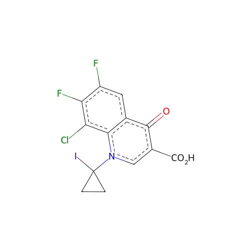 O=C(O)c1cn(C2(I)CC2)c2c(Cl)c(F)c(F)cc2c1=O